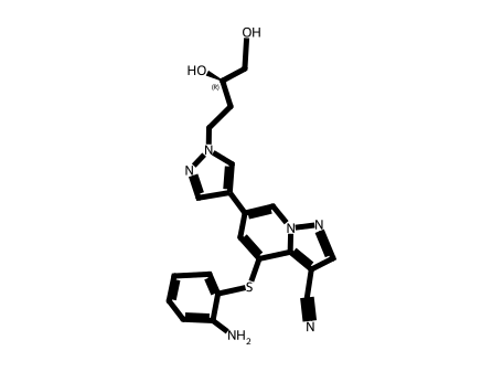 N#Cc1cnn2cc(-c3cnn(CC[C@@H](O)CO)c3)cc(Sc3ccccc3N)c12